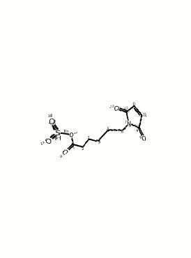 O=C(CCCCCN1C(=O)C=CC1=O)O[SH](=O)=O